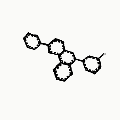 Brc1cccc(-c2cc3ccc(-c4ccccc4)cc3c3ccccc23)c1